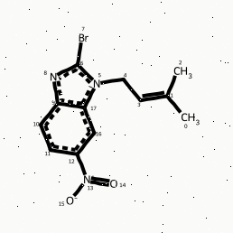 CC(C)=CCn1c(Br)nc2ccc([N+](=O)[O-])cc21